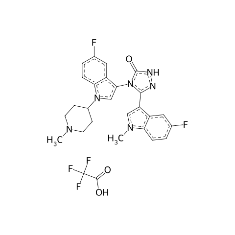 CN1CCC(n2cc(-n3c(-c4cn(C)c5ccc(F)cc45)n[nH]c3=O)c3cc(F)ccc32)CC1.O=C(O)C(F)(F)F